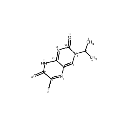 CC(C)n1cc2nc(F)c(=O)[nH]c2nc1=O